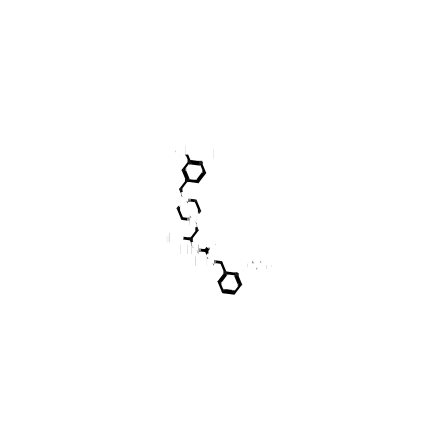 COc1ccccc1CNC(=S)NC(CN1CCN(Cc2ccc(Cl)c(Cl)c2)CC1)C(C)C